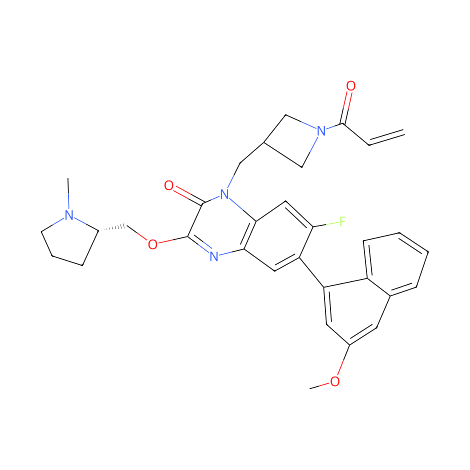 C=CC(=O)N1CC(Cn2c(=O)c(OC[C@@H]3CCCN3C)nc3cc(-c4cc(OC)cc5ccccc45)c(F)cc32)C1